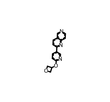 c1cc2nc(-c3ccc(OC4COC4)nc3)ccc2cn1